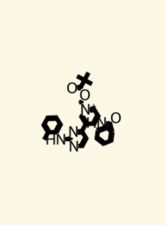 Cc1ccccc1Nc1nccc(-c2ccc[n+](COC(=O)C(C)(C)C)c2)n1.O=C1Nc2cccc1c2